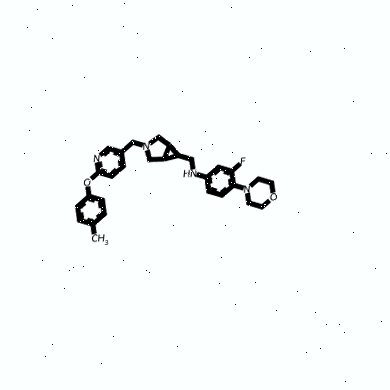 Cc1ccc(Oc2ccc(CN3CC4C(CNc5ccc(N6CCOCC6)c(F)c5)C4C3)cn2)cc1